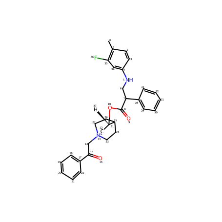 Cc1ccc(NCC(C(=O)O[C@H]2C[N+]3(CC(=O)c4ccccc4)CCC2CC3)c2ccccc2)cc1F